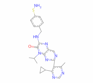 Cc1ncnc(C2CC2)c1-c1ncc2nc(NCc3ccc(SN)cc3)c(=O)n(C(C)C)c2n1